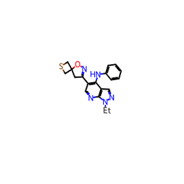 CCn1ncc2c(Nc3ccccc3)c(C3=NOC4(CSC4)C3)cnc21